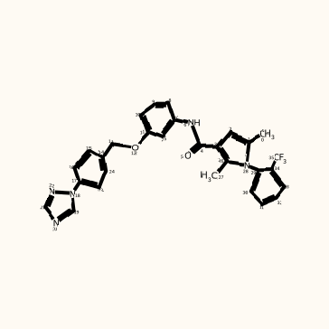 Cc1cc(C(=O)Nc2cccc(OCc3ccc(-n4cncn4)cc3)c2)c(C)n1-c1ccccc1C(F)(F)F